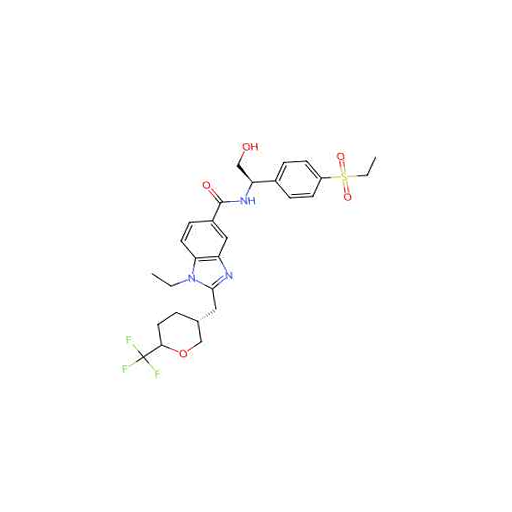 CCn1c(C[C@H]2CCC(C(F)(F)F)OC2)nc2cc(C(=O)N[C@@H](CO)c3ccc(S(=O)(=O)CC)cc3)ccc21